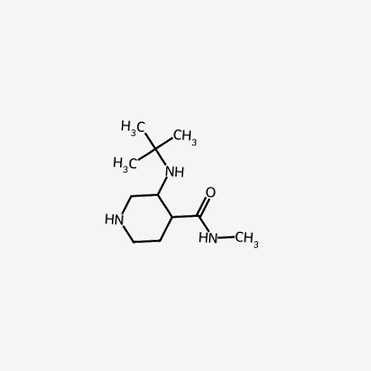 CNC(=O)C1CCNCC1NC(C)(C)C